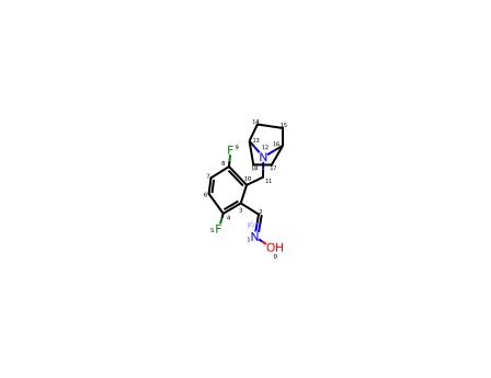 O/N=C/c1c(F)ccc(F)c1CN1C2CCC1CC2